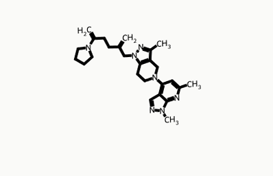 C=C(CCC(=C)N1CCCC1)Cn1nc(C)c2c1CCN(c1cc(C)nc3c1cnn3C)C2